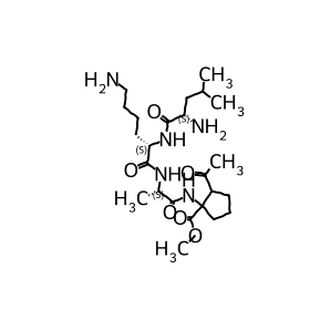 COC(=O)C1(NC(=O)[C@H](C)NC(=O)[C@H](CCCCN)NC(=O)[C@@H](N)CC(C)C)CCCC1C(C)=O